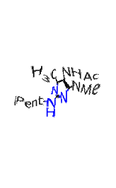 CCCC(C)Nc1nc(C)c(NC(C)=O)c(NC)n1